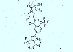 CC(C)(O)C(=O)N1C[C@H](F)[C@H](NC(=O)c2cc(-c3cc(C(F)(F)F)c4c(N)ncnn34)ccc2OC(F)(F)F)C1